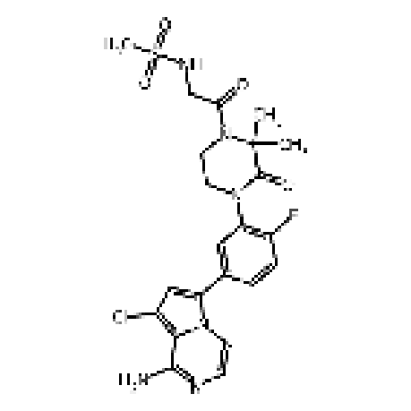 CC1(C)C(=O)N(c2cc(-c3cc(Cl)c4c(N)ncnn34)ccc2F)CCN1C(=O)CNS(C)(=O)=O